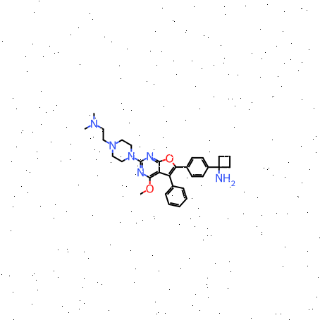 COc1nc(N2CCN(CCN(C)C)CC2)nc2oc(-c3ccc(C4(N)CCC4)cc3)c(-c3ccccc3)c12